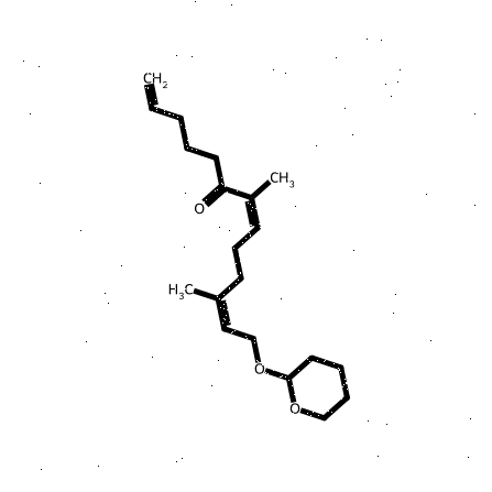 C=CCCCC(=O)C(C)=CCCC(C)=CCOC1CCCCO1